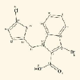 O=C(O)c1c(Br)c2ccccc2n1Cc1ccc(Cl)s1